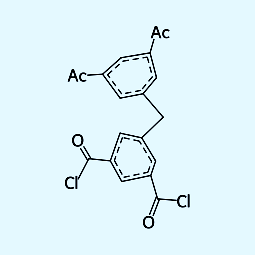 CC(=O)c1cc(Cc2cc(C(=O)Cl)cc(C(=O)Cl)c2)cc(C(C)=O)c1